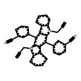 C#CCn1c2ccccc2c2c(-c3cccc(C#N)c3)c3c(c(-c4cccc(C#N)c4)c21)c1ccccc1n3CC#C